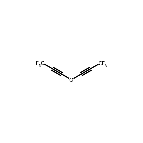 FC(F)(F)C#COC#CC(F)(F)F